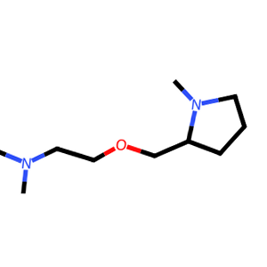 CN(C)CCOCC1CCCN1C